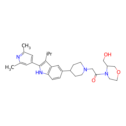 Cc1cc(-c2[nH]c3ccc(C4CCN(CC(=O)N5CCOCC5CO)CC4)cc3c2C(C)C)cc(C)n1